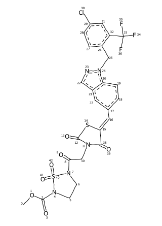 COC(=O)N1CCN(C(=O)CN2C(=O)SC(=Cc3ccc4c(cnn4Cc4ccc(Cl)cc4C(F)(F)F)c3)C2=O)S1(=O)=O